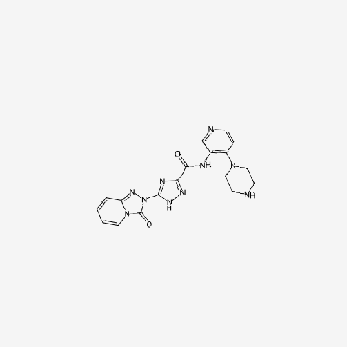 O=C(Nc1cnccc1N1CCNCC1)c1n[nH]c(-n2nc3ccccn3c2=O)n1